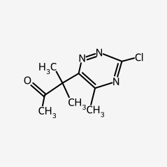 CC(=O)C(C)(C)c1nnc(Cl)nc1C